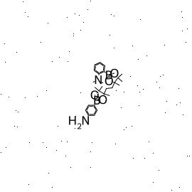 CN(C)c1ccccc1B1OC(C)(C)C(C)(CCC2(C)OB(c3ccc(N)cc3)OC2(C)C)O1